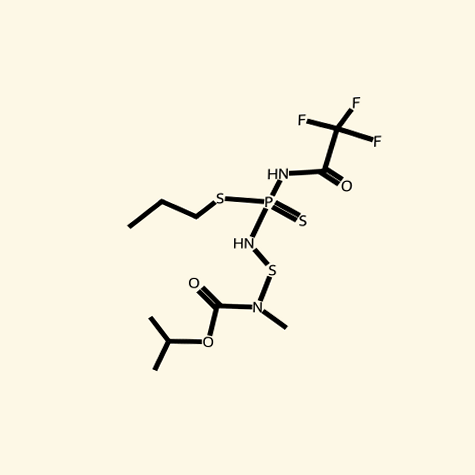 CCCSP(=S)(NSN(C)C(=O)OC(C)C)NC(=O)C(F)(F)F